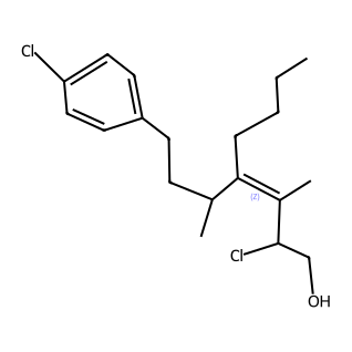 CCCC/C(=C(\C)C(Cl)CO)C(C)CCc1ccc(Cl)cc1